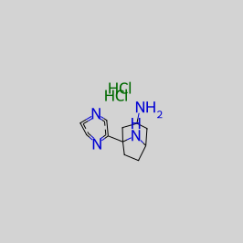 Cl.Cl.NC1CC2CCC(c3cnccn3)(C1)N2